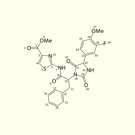 COC(=O)c1csc(NC(=O)C(Cc2ccccc2)N2C(=O)NC(c3ccc(OC)c(F)c3)C2=O)n1